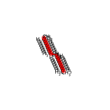 C=C(C)C(=O)OC(C)OC(C)OC(C)OC(C)OC(C)OC(C)OC(C)OC(C)OC(C)OC(C)OC(C)OC(C)OC(C)OC(C)OC(C)Oc1ccc(C(C)(C)c2ccc(OC(C)OC(C)OC(C)OC(C)OC(C)OC(C)OC(C)OC(C)OC(C)OC(C)OC(C)OC(C)OC(C)OC(C)OC(C)OC(=O)C(=C)C)cc2)cc1